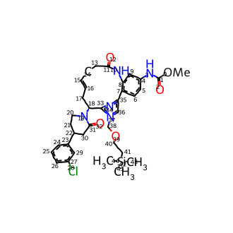 COC(=O)Nc1ccc2c(c1)NC(=O)CC/C=C/C[C@H](N1CCC(c3cccc(Cl)c3)CC1=O)c1nc-2cn1COCC[Si](C)(C)C